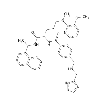 COc1cccnc1N(C)CCC[C@H](NC(=O)c1ccc(CNCc2ncc[nH]2)cc1)C(=O)N[C@@H](C)c1cccc2ccccc12